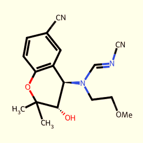 COCCN(C=NC#N)[C@@H]1c2cc(C#N)ccc2OC(C)(C)[C@H]1O